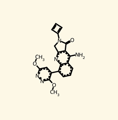 COc1cc(-c2cccc3c(N)c4c(nc23)CN(C2=CC=C2)C4=O)c(OC)nn1